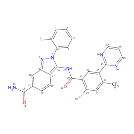 Cc1ccccc1-n1nc2cc(C(N)=O)ccc2c1NC(=O)c1cc(-c2ncccn2)c(C(F)(F)F)cc1F